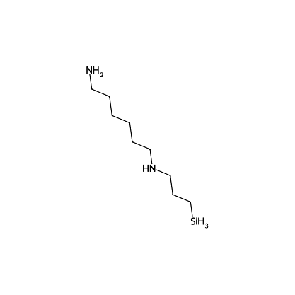 NCCCCCCNCCC[SiH3]